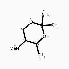 CNC1COC(C)(C)OC1C